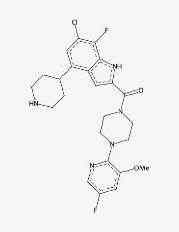 COc1cc(F)cnc1N1CCN(C(=O)c2cc3c(C4CCNCC4)cc(Cl)c(F)c3[nH]2)CC1